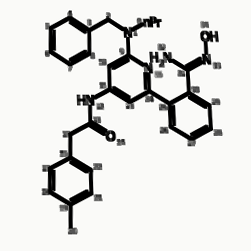 CCCN(Cc1ccccc1)c1cc(NC(=O)Cc2ccc(C)cc2)cc(-c2ccccc2/C(N)=N/O)n1